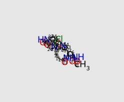 COC(=O)Nc1ccc2c(c1)NC(=O)CC/C=C\C[C@H](C(=O)N1CCC[C@@]3(C1)OC(=O)Nc1ccc(Cl)c(F)c13)c1cc-2ccn1